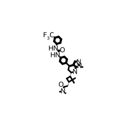 CN(C)C(=O)C[C@@H]1C[C@H](C2CC(c3ccc(NC(=O)Nc4cccc(C(F)(F)F)c4)cc3)=c3cnn(C)c3=N2)C1(C)C